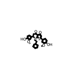 COc1cc(-c2cc(=O)c3c(s2)N(CCc2ccccc2)C(c2ccc(O)c(OC)c2)CC3=O)ccc1O